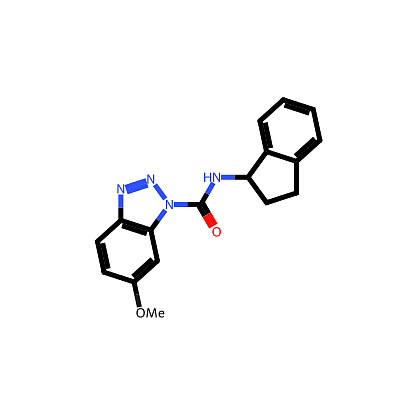 COc1ccc2nnn(C(=O)NC3CCc4ccccc43)c2c1